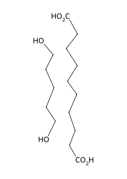 O=C(O)CCCCCCCCC(=O)O.OCCCCCO